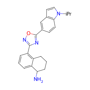 CC(C)n1ccc2cc(-c3nc(-c4cccc5c4CCCC5N)no3)ccc21